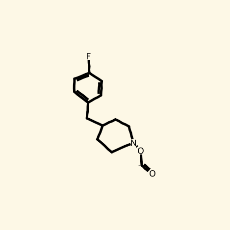 O=[C]ON1CCC(Cc2ccc(F)cc2)CC1